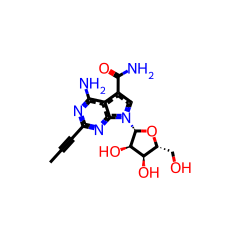 CC#Cc1nc(N)c2c(C(N)=O)cn([C@@H]3O[C@H](CO)[C@@H](O)[C@H]3O)c2n1